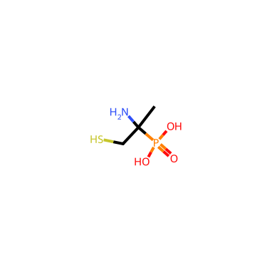 CC(N)(CS)P(=O)(O)O